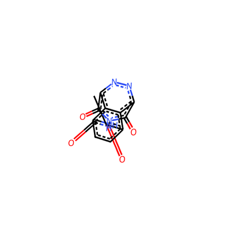 O=c1[nH]c(=O)c2ccc1c1c3nnc(c(=O)[nH]c3=O)c21